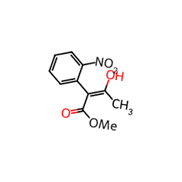 COC(=O)C(=C(C)O)c1ccccc1[N+](=O)[O-]